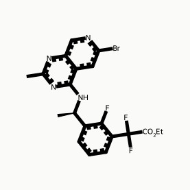 CCOC(=O)C(F)(F)c1cccc([C@@H](C)Nc2nc(C)nc3cnc(Br)cc23)c1F